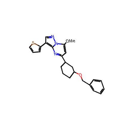 COc1cc(C2CCCC(OCc3ccccc3)C2)nc2c(-c3cccs3)cnn12